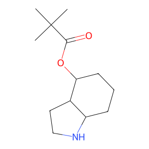 CC(C)(C)C(=O)OC1CCCC2NCCC21